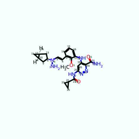 COc1c(/C=C/N(N)[C@H]2C[C@H]3C[C@H]3C2)cccc1Nc1cc(NC(=O)C2CC2)nnc1C(N)=O